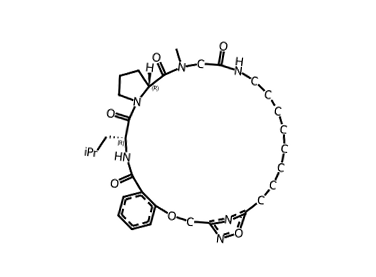 CC(C)C[C@H]1NC(=O)c2ccccc2OCc2noc(n2)CCCCCCCCNC(=O)CN(C)C(=O)[C@H]2CCCN2C1=O